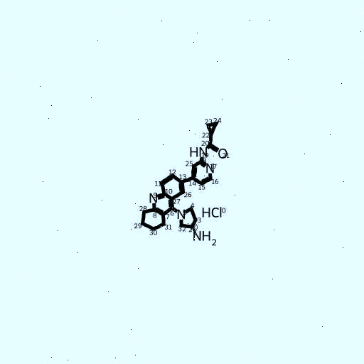 Cl.N[C@@H]1CCN(c2c3c(nc4ccc(-c5ccnc(NC(=O)C6CC6)c5)cc24)CCCC3)C1